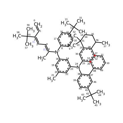 C=C/C(=C\C=C(/C)N(c1ccc(C(C)(C)C)cc1)c1cc(C)cc(N(c2ccc3c(c2)C(C)(C)CCC3C)c2ccc(C(C)(C)C)cc2-c2ccccc2)c1)C(C)(C)C